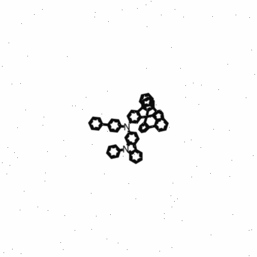 c1ccc(-c2ccc(N(c3ccc4c(c3)C3(c5ccccc5-4)c4ccccc4-c4cccc5ccc(-c6ccccc6)c3c45)c3ccc4c5ccccc5n(-c5ccccc5)c4c3)cc2)cc1